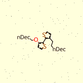 CCCCCCCCCCCCc1ccsc1-c1sccc1OCCCCCCCCCCC